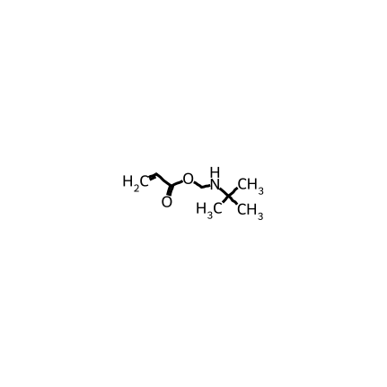 C=CC(=O)OCNC(C)(C)C